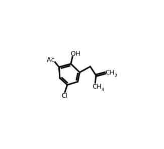 C=C(C)Cc1cc(Cl)cc(C(C)=O)c1O